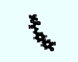 CC(C)(C)OC(=O)NCCc1ccc(-c2ccc(=O)[nH]c2)cc1